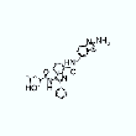 CC(C)CC(CO)C(=O)Nc1c(-c2ccccc2)nc2c(C(=O)NCc3ccc4nc(N)sc4c3)cccn12